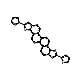 c1csc(-c2cc3ccc4c5ccc6c(ccc7cc(-c8cccs8)sc76)c5ccc4c3s2)c1